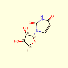 C[C@H]1O[C@@H](n2ccc(=O)[nH]c2=O)[C@H](O)[C@@H]1O